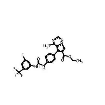 CCOC(=O)c1cn2ncnc(N)c2c1-c1ccc(NC(=O)Nc2cc(F)cc(C(F)(F)F)c2)cc1